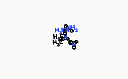 Cc1cc(C)c2c(c1)c1cc(-c3ccc4c(c3)c3ccccc3n4-c3ccccc3)ccc1n2-c1ccc([C@@H](N)C(/N=C(\N)c2ccccc2)c2ccccc2)cc1